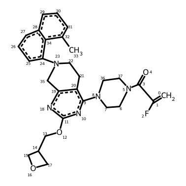 C=C(F)C(=O)N1CCN(c2nc(OCC3COC3)nc3c2CCN(c2cccc4cccc(C)c24)C3)CC1